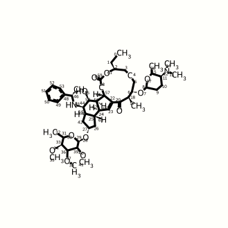 CC[C@H]1CCC[C@H](OC2CC[C@H](N(C)C)C(C)O2)[C@@H](C)C(=O)C2=C[C@H]3[C@@H]4C[C@H](O[C@@H]5OC(C)[C@H](OC)C(OC)C5OC)C[C@H]4[C@@H](N[C@@H](C)c4ccccc4)[C@@H](O)[C@H]3[C@@H]2CC(=O)O1